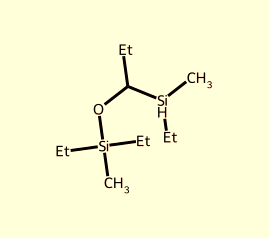 CCC(O[Si](C)(CC)CC)[SiH](C)CC